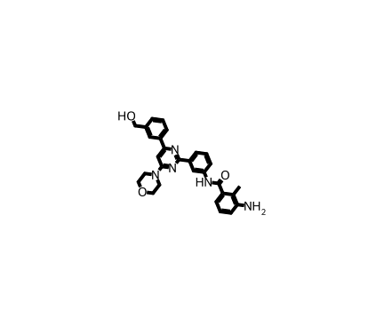 Cc1c(N)cccc1C(=O)Nc1cccc(-c2nc(-c3cccc(CO)c3)cc(N3CCOCC3)n2)c1